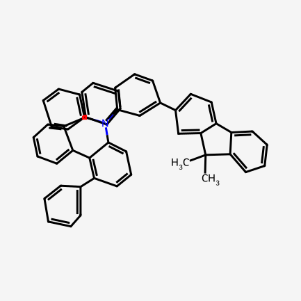 CC1(C)c2ccccc2-c2ccc(-c3cccc(N(c4ccccc4)c4cccc(-c5ccccc5)c4-c4ccccc4-c4ccccc4)c3)cc21